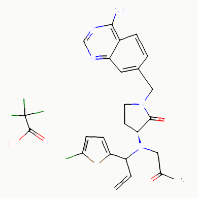 C=CC(c1ccc(Cl)s1)N(CC(=O)OC)[C@H]1CCN(Cc2ccc3c(N)ncnc3c2)C1=O.O=C(O)C(F)(F)F